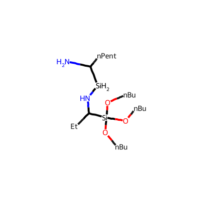 CCCCCC(N)[SiH2]NC(CC)[Si](OCCCC)(OCCCC)OCCCC